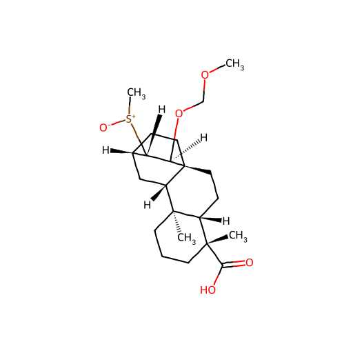 COCO[C@@H]1[C@@H]([S+](C)[O-])[C@H]2CC[C@@]13CC[C@H]1[C@@](C)(CCC[C@@]1(C)C(=O)O)[C@@H]3C2